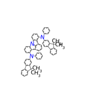 CC1(C)c2ccccc2-c2ccc(N(c3ccccc3)c3cccc4c3c3cccc5c6c(N(c7ccccc7)c7ccc8c(c7)C(C)(C)c7ccccc7-8)cccc6n4c35)cc21